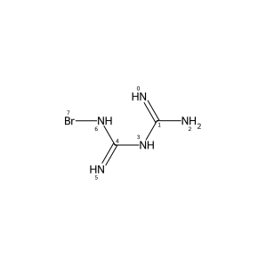 N=C(N)NC(=N)NBr